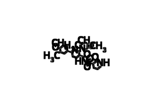 COc1ccc(-c2ccc(C(=O)NS(=O)(=O)c3ccc[nH]c3=O)c(N3C[C@@H](C)CC3(C)C)n2)cc1C